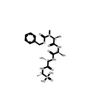 CCC[C@H](NC(=O)[C@@H](NC(=O)[C@H](C(C)C)N(C)C(=O)OCc1ccccc1)C(C)C)C(=O)N[C@@H](C)P(=O)(O)O